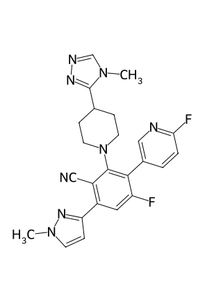 Cn1ccc(-c2cc(F)c(-c3ccc(F)nc3)c(N3CCC(c4nncn4C)CC3)c2C#N)n1